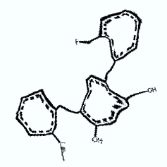 Oc1cc(O)c(-c2ccccc2F)cc1-c1ccccc1F